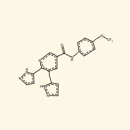 O=C(Nc1ccc(OC(F)(F)F)cc1)c1cnc(-c2ccn[nH]2)c(-c2ccn[nH]2)c1